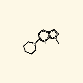 Cn1ncc2ccc(N3CCCCC3)nc21